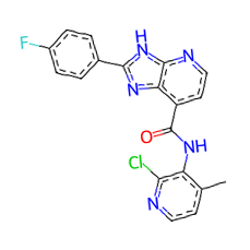 Cc1ccnc(Cl)c1NC(=O)c1ccnc2[nH]c(-c3ccc(F)cc3)nc12